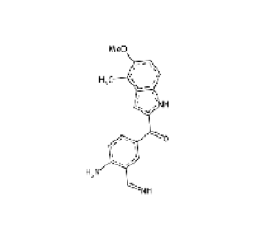 COc1ccc2[nH]c(C(=O)c3ccc(N)c(C=N)c3)cc2c1C